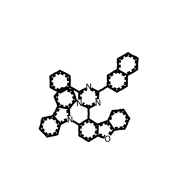 c1ccc(-c2nc(-c3ccc4ccccc4c3)nc(-c3c(-n4c5ccccc5c5ccccc54)ccc4oc5ccccc5c34)n2)cc1